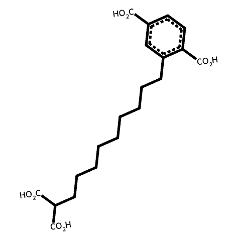 O=C(O)c1ccc(C(=O)O)c(CCCCCCCCCC(C(=O)O)C(=O)O)c1